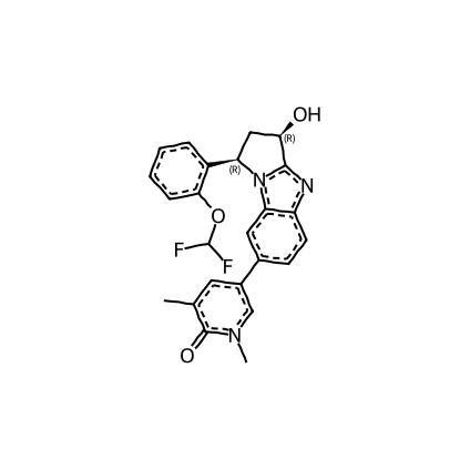 Cc1cc(-c2ccc3nc4n(c3c2)[C@@H](c2ccccc2OC(F)F)C[C@H]4O)cn(C)c1=O